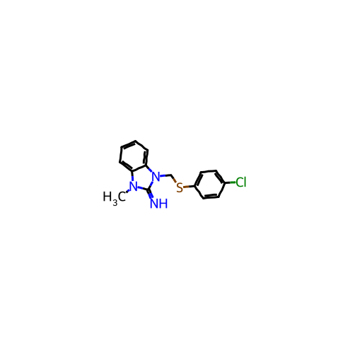 Cn1c(=N)n(CSc2ccc(Cl)cc2)c2ccccc21